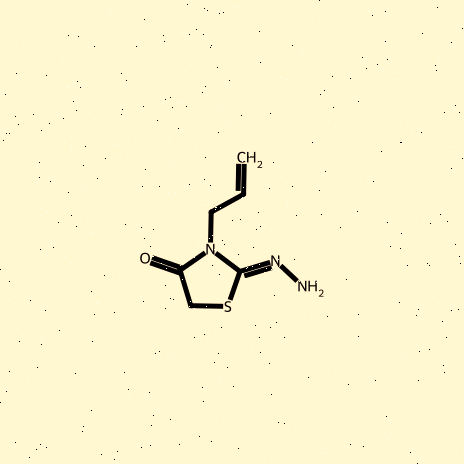 C=CCN1C(=O)CS/C1=N\N